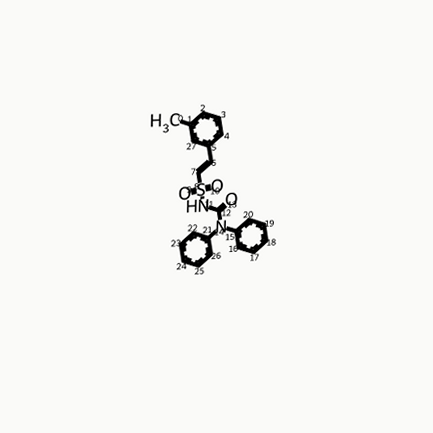 Cc1cccc(C=CS(=O)(=O)NC(=O)N(c2ccccc2)c2ccccc2)c1